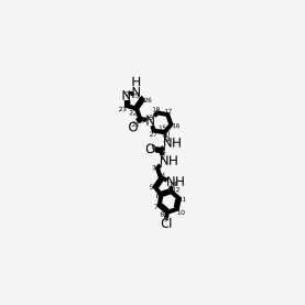 O=C(NCc1cc2cc(Cl)ccc2[nH]1)N[C@@H]1CCCN(C(=O)c2cn[nH]c2)C1